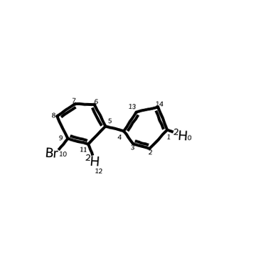 [2H]c1ccc(-c2cccc(Br)c2[2H])cc1